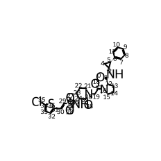 O=C(N[C@H]1C[C@@H]1c1ccccc1)[C@H]1CCCN1C(=O)CN1CCC[C@H](NS(=O)(=O)/C=C/c2ccc(Cl)s2)C1=O